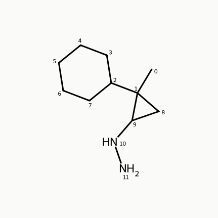 CC1(C2CCCCC2)CC1NN